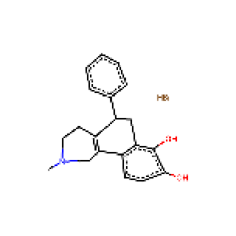 Br.CN1CCC2=C(C1)c1ccc(O)c(O)c1CC2c1ccccc1